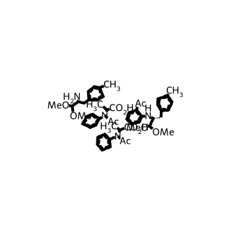 CC(=O)N(c1ccccc1)C(C)C(=O)O.CC(=O)N(c1ccccc1)C(C)C(=O)O.COC(OC)[C@@H](Cc1ccc(C)cc1)Nc1ccccc1C(C)=O.COC(OC)[C@@H](N)Cc1ccc(C)cc1